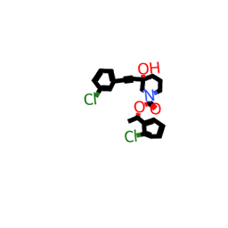 CC(OC(=O)N1CCCC(O)(C#Cc2cccc(Cl)c2)C1)c1ccccc1Cl